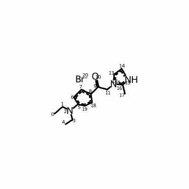 CCN(CC)c1ccc(C(=O)C[n+]2cc[nH]c2C)cc1.[Br-]